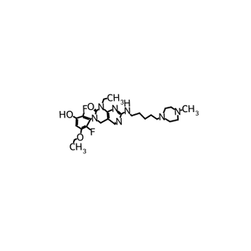 CCOc1cc(O)c(F)c(N2Cc3cnc(NCCCCCN4CCN(C)CC4)nc3N(CC)C2=O)c1F